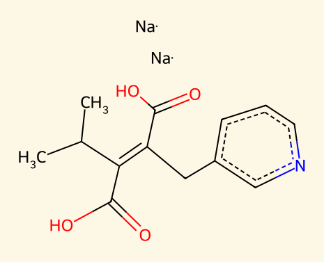 CC(C)C(C(=O)O)=C(Cc1cccnc1)C(=O)O.[Na].[Na]